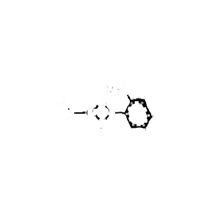 COc1ccccc1P1SP(SS)S1